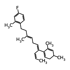 C/C=C\C(=C/C/C=C(\C)CCc1ccc(F)cc1C)C1=CCC(C)C=C1C